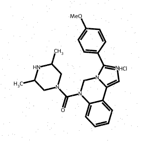 COc1ccc(-c2ncc3n2CN(C(=O)N2CC(C)NC(C)C2)c2ccccc2-3)cc1.Cl